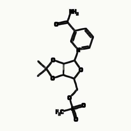 CC1(C)OC2C(COS(=O)(=O)C(F)(F)F)OC([n+]3cccc(C(N)=O)c3)C2O1